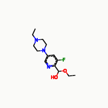 CCOC(O)c1ncc(N2CCN(CC)CC2)cc1F